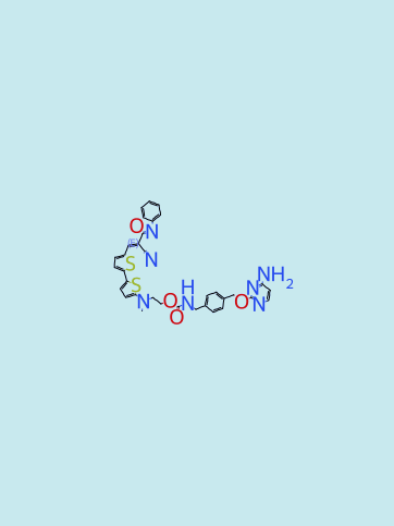 CN(CCOC(=O)NCc1ccc(COc2nccc(N)n2)cc1)c1ccc(-c2ccc(/C=C(\C#N)c3nc4ccccc4o3)s2)s1